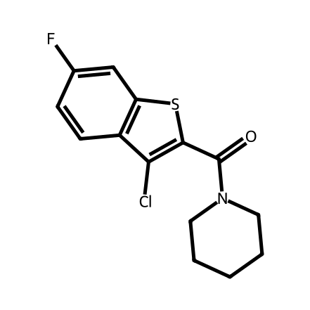 O=C(c1sc2cc(F)ccc2c1Cl)N1CCCCC1